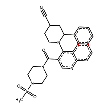 CS(=O)(=O)N1CCN(C(=O)c2cnc3ccccc3c2N2CCC(C#N)CC2c2ccccc2)CC1